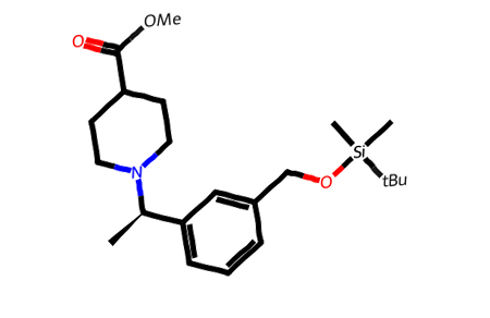 COC(=O)C1CCN([C@H](C)c2cccc(CO[Si](C)(C)C(C)(C)C)c2)CC1